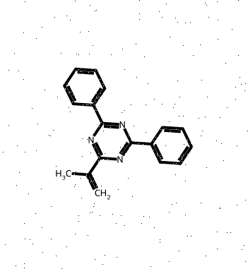 C=C(C)c1nc(-c2ccccc2)nc(-c2ccccc2)n1